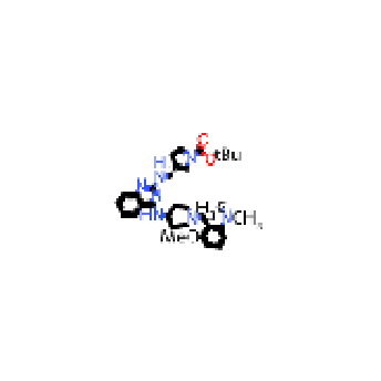 COc1cccc(N(C)C)c1CN1CCC(Nc2nc(NC[C@H]3CCN(C(=O)OC(C)(C)C)C3)nc3ccccc23)CC1